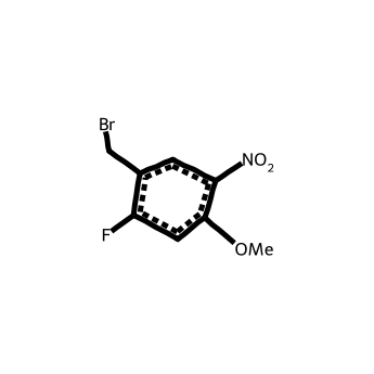 COc1cc(F)c(CBr)cc1[N+](=O)[O-]